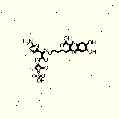 C[C@@H]1[C@H](NC(=O)C(=NOCCCCc2nc3cc(O)c(O)cc3nc2C(=O)O)c2csc(N)n2)C(=O)N1S(=O)(=O)O